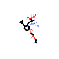 CC(N)(Cc1cc(OCCOCCF)ccc1C1CC1)C(=O)O